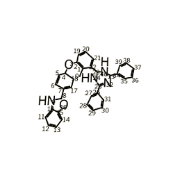 Cc1c(OC2C=CC(C3Nc4ccccc4O3)=CC2)cccc1C1NC(c2ccccc2)=NC(c2ccccc2)N1